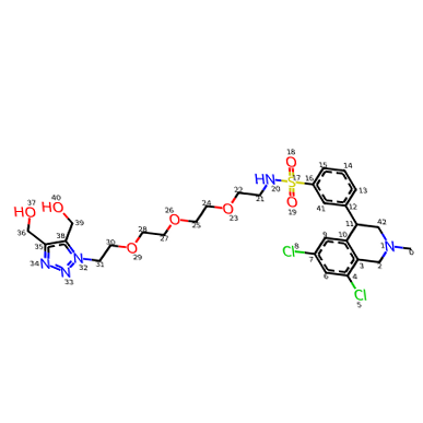 CN1Cc2c(Cl)cc(Cl)cc2C(c2cccc(S(=O)(=O)NCCOCCOCCOCCn3nnc(CO)c3CO)c2)C1